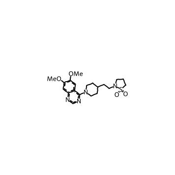 COc1cc2ncnc(N3CCC(CCN4CCCS4(=O)=O)CC3)c2cc1OC